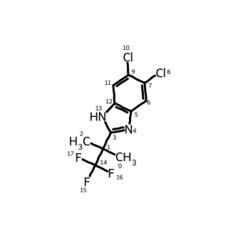 CC(C)(c1nc2cc(Cl)c(Cl)cc2[nH]1)C(F)(F)F